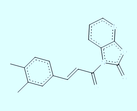 Cc1ccc(/C=C/C(=O)n2c(=O)oc3ncccc32)cc1C